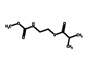 COC(=O)NCCOC(=O)C(C)C